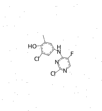 Cc1cc(Nc2nc(Cl)ncc2F)cc(Cl)c1O